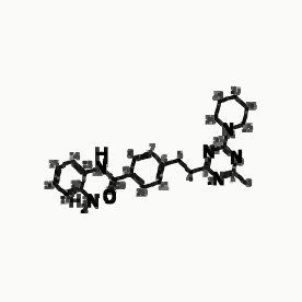 Cc1nc(CCc2ccc(C(=O)Nc3ccccc3N)cc2)nc(N2CCCCC2)n1